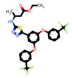 CCOC(=O)CC(C)Nc1nnc(-c2cc(Oc3cccc(C(F)(F)F)c3)cc(Oc3cccc(C(F)(F)F)c3)c2)s1